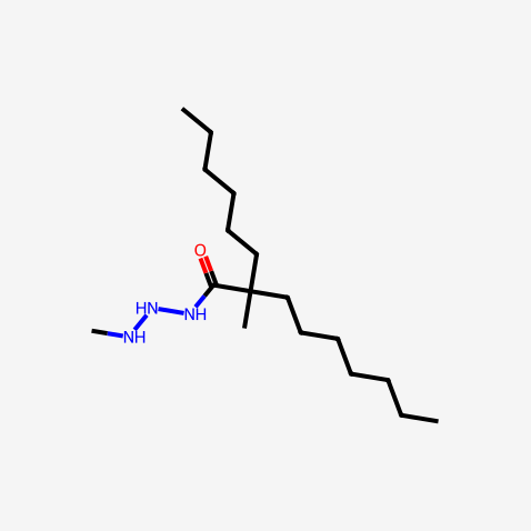 CCCCCCCC(C)(CCCCCC)C(=O)NNNC